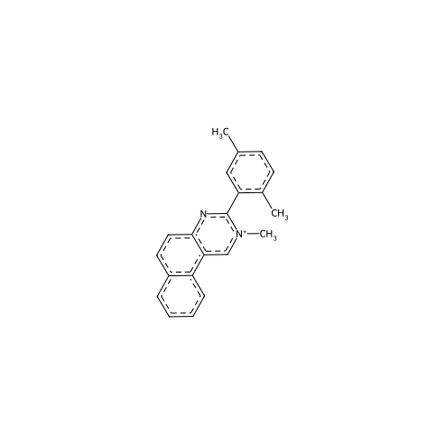 Cc1ccc(C)c(-c2nc3ccc4ccccc4c3c[n+]2C)c1